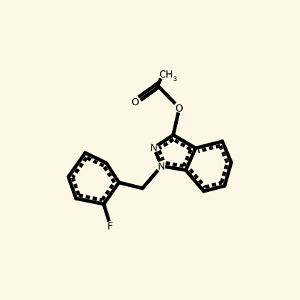 CC(=O)Oc1nn(Cc2ccccc2F)c2ccccc12